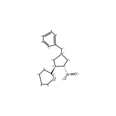 O=[N+]([O-])[C@H]1CN(Cc2ccccc2)C[C@@H]1C1CCCCO1